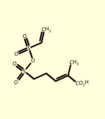 C=CS(=O)(=O)OS(=O)(=O)CCC=C(C)C(=O)O